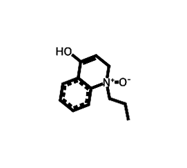 CCC[N+]1([O-])CC=C(O)c2ccccc21